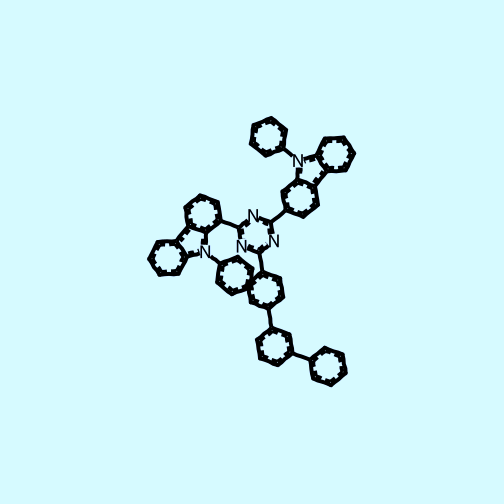 c1ccc(-c2cccc(-c3ccc(-c4nc(-c5ccc6c7ccccc7n(-c7ccccc7)c6c5)nc(-c5cccc6c7ccccc7n(-c7ccccc7)c56)n4)cc3)c2)cc1